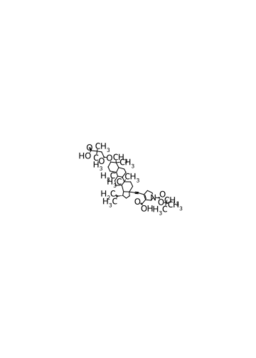 C=C(C)[C@@H]1CCC2(C#CC3=C(C(=O)O)CN(C(=O)OC(C)(C)C)CC3)CC[C@]3(C)C(CCC4[C@@]5(C)CC[C@H](OC(=O)CC(C)(C)C(=O)O)C(C)(C)C5CC[C@]43C)C12